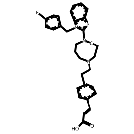 O=C(O)/C=C/c1ccc(CCN2CCCN(c3nc4ccccc4n3Cc3ccc(F)cc3)CCC2)cc1